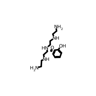 C=O.NCCNCCNCCNCCN.Oc1ccccc1